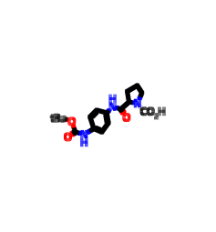 CC(C)(C)OC(=O)Nc1ccc(NC(=O)C2CCCN2C(=O)O)cc1